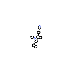 c1ccc(-n2c3cc(-c4cccc5ccccc45)ccc3c3c4ccccc4c(-c4ccc(-c5ccncc5)cc4)cc32)cc1